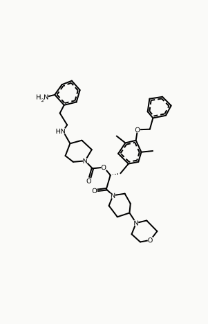 Cc1cc(C[C@@H](OC(=O)N2CCC(NCCc3ccccc3N)CC2)C(=O)N2CCC(N3CCOCC3)CC2)cc(C)c1OCc1ccccc1